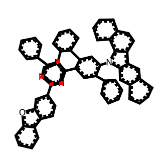 c1ccc(-c2nc(-c3ccc4c(c3)oc3ccccc34)nc(-c3cc(-c4ccccc4)c(-n4c5cc6ccccc6cc5c5ccc6ccccc6c54)cc3-c3ccccc3-c3ccccc3)n2)cc1